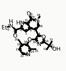 CCNC(=O)c1cc2c(-c3oc(C(C)(C)O)nc3Oc3c(C)ccnc3C)cn(C)c(=O)c2[nH]1